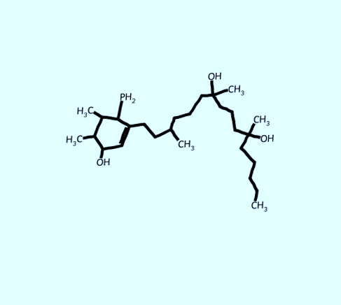 CCCCCC(C)(O)CCCC(C)(O)CCCC(C)CCC1=CC(O)C(C)C(C)C1P